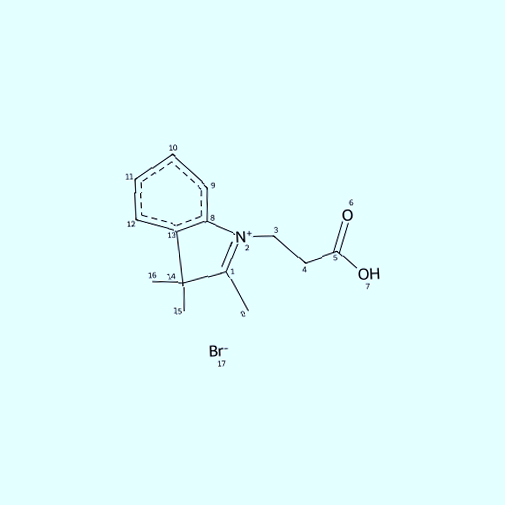 CC1=[N+](CCC(=O)O)c2ccccc2C1(C)C.[Br-]